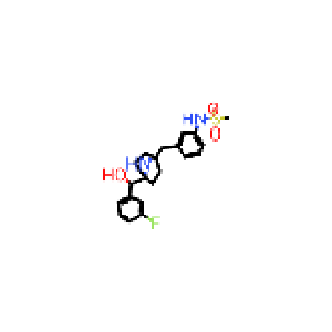 CS(=O)(=O)Nc1cccc(CC23CCC(C(O)c4cccc(F)c4)(CC2)N3)c1